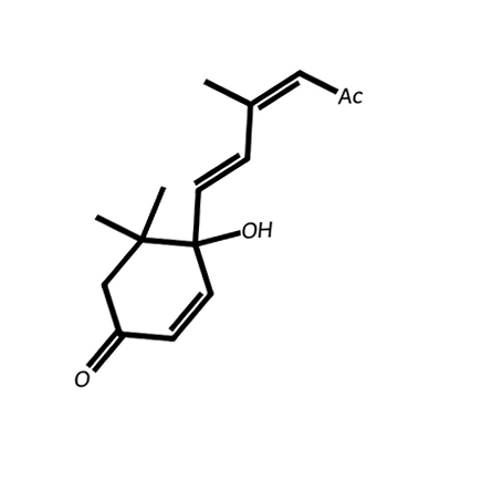 CC(=O)/C=C(C)\C=C\C1(O)C=CC(=O)CC1(C)C